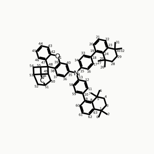 CC1(C)CCC(C)(C)c2c(-c3ccc(N(c4ccc(-c5cccc6c5C(C)(C)CCC6(C)C)cc4)c4ccc5c(c4)Oc4ccccc4C54C5CC6CC7CC4C75C6)cc3)cccc21